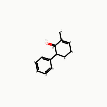 CC1=CCCC(c2ccccc2)C1=O